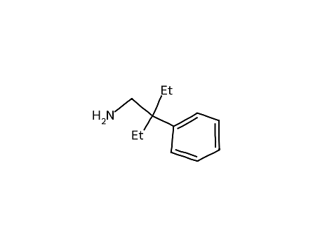 CCC(CC)(CN)c1ccccc1